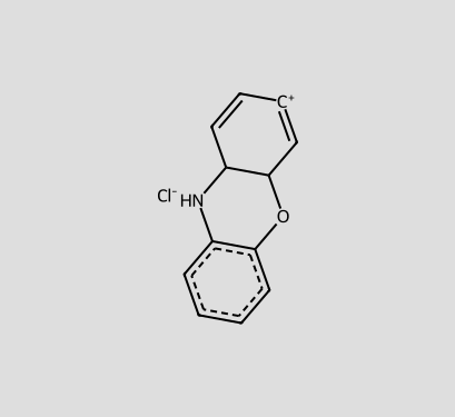 [C+]1=CC2Oc3ccccc3NC2C=C1.[Cl-]